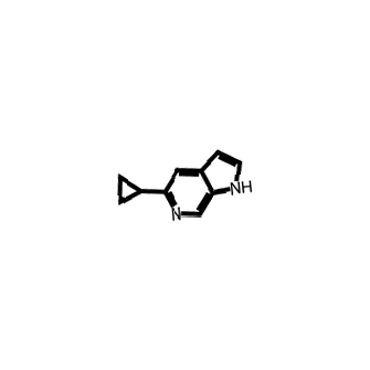 c1cc2cc(C3CC3)ncc2[nH]1